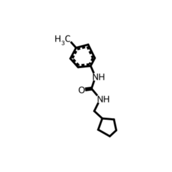 Cc1ccc(NC(=O)NCC2CCCC2)cc1